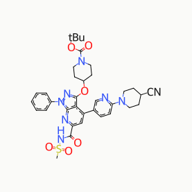 CC(C)(C)OC(=O)N1CCC(Oc2nn(-c3ccccc3)c3nc(C(=O)NS(C)(=O)=O)cc(-c4ccc(N5CCC(C#N)CC5)nc4)c23)CC1